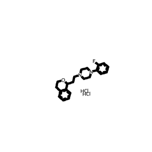 Cl.Cl.Fc1ccccc1N1CCN(CCC2OCCc3ccccc32)CC1